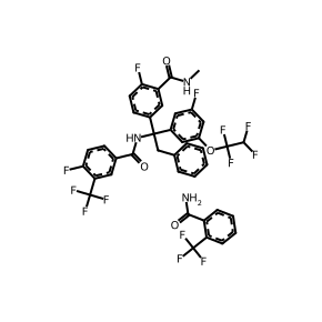 CNC(=O)c1cc(C(Cc2ccccc2)(NC(=O)c2ccc(F)c(C(F)(F)F)c2)c2cc(F)cc(OC(F)(F)C(F)F)c2)ccc1F.NC(=O)c1ccccc1C(F)(F)F